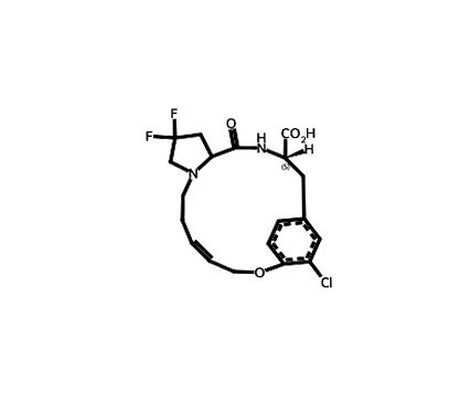 O=C1N[C@H](C(=O)O)Cc2ccc(c(Cl)c2)OCC=CCCN2CC(F)(F)CC12